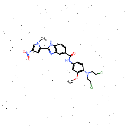 COc1cc(NC(=O)c2ccc3[nH]c(-c4cc([N+](=O)[O-])cn4C)nc3c2)ccc1N(CCCl)CCCl